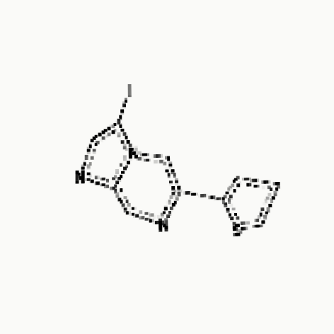 Ic1cnc2cnc(-c3cccs3)cn12